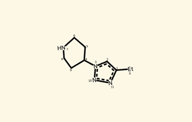 CCc1cn(C2CCNCC2)nn1